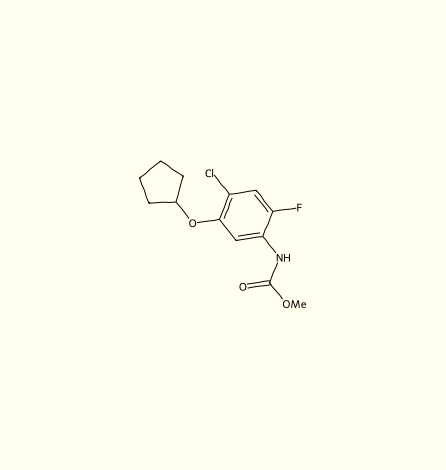 COC(=O)Nc1cc(OC2CCCC2)c(Cl)cc1F